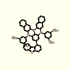 CC(C)(C)c1cc(N2c3cc4ccccc4cc3B3c4cc5ccccc5cc4N(c4cc(C(C)(C)C)cc(C(C)(C)C)c4)c4cc(-c5cccc6sc7ccccc7c56)cc2c43)cc(C(C)(C)C)c1